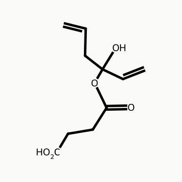 C=CCC(O)(C=C)OC(=O)CCC(=O)O